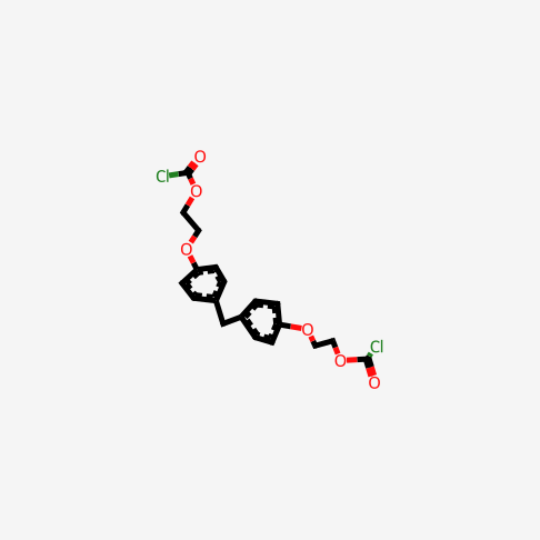 O=C(Cl)OCCOc1ccc(Cc2ccc(OCCOC(=O)Cl)cc2)cc1